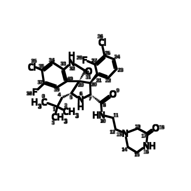 CC(C)(C)C[C@H]1N[C@@H](C(=O)NCCN2CCNC(=O)C2)[C@H](c2cccc(Cl)c2F)[C@@]12C(=O)Nc1cc(Cl)c(F)cc12